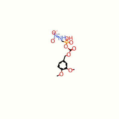 COc1ccc(COC(=O)OP(=O)(O)CN[N+](=O)[O-])cc1OC